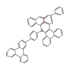 c1ccc(-c2cccc(-c3c(N(c4ccc(-c5ccc6c7ccccc7c7ccccc7c6c5)cc4)c4cccc5ccccc45)c4ccccc4c4ccccc34)c2)cc1